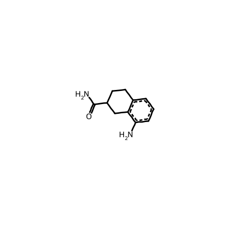 NC(=O)C1CCc2cccc(N)c2C1